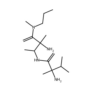 C=C(NC(C)C(C)(N)C(=C)N(C)CCC)C(C)(N)C(C)C